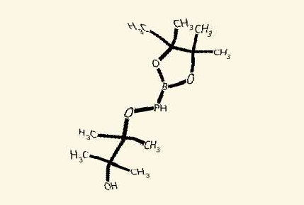 CC(C)(O)C(C)(C)OPB1OC(C)(C)C(C)(C)O1